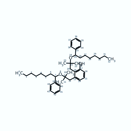 CCCCCCCC(OC(C)(C)Cc1cccc(O)c1CC(C)(C)OC(CCCCCCC)c1ccccc1)c1ccccc1